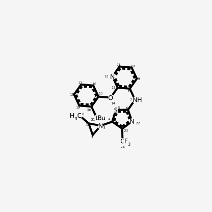 CC1CN1c1sc(Nc2cccnc2Oc2ccccc2C(C)(C)C)nc1C(F)(F)F